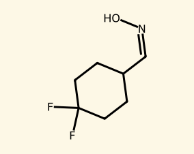 O/N=C\C1CCC(F)(F)CC1